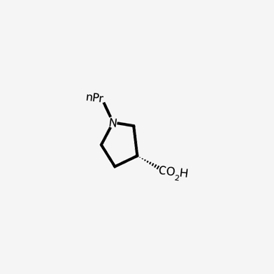 CCCN1CC[C@@H](C(=O)O)C1